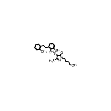 CC1=NN(CCCCO)C(=O)C1=NNc1cccc(CCc2ccccc2C)c1O